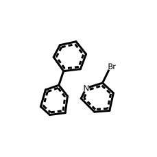 Brc1ccccn1.c1ccc(-c2ccccc2)cc1